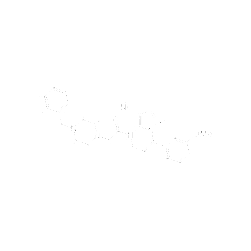 COc1cccc(C2=CCN(C(=O)CN3CCN(Cc4ccccc4)CC3)c3c(C#N)cnn32)c1